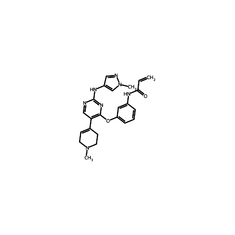 C=CC(=O)Nc1cccc(Oc2nc(Nc3cnn(C)c3)ncc2C2=CCN(C)CC2)c1